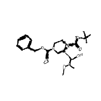 CON(C)C(O)[C@H]1CN(C(=O)OCc2ccccc2)CCN1C(=O)OC(C)(C)C